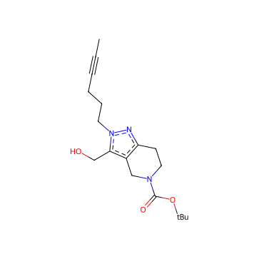 CC#CCCCn1nc2c(c1CO)CN(C(=O)OC(C)(C)C)CC2